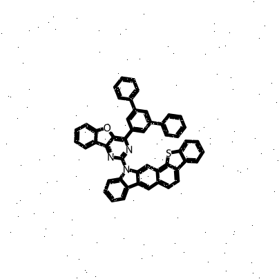 c1ccc(-c2cc(-c3ccccc3)cc(-c3nc(-n4c5ccccc5c5cc6ccc7c8ccccc8sc7c6cc54)nc4c3oc3ccccc34)c2)cc1